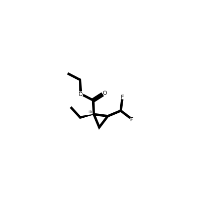 CCOC(=O)[C@@]1(CC)CC1C(F)F